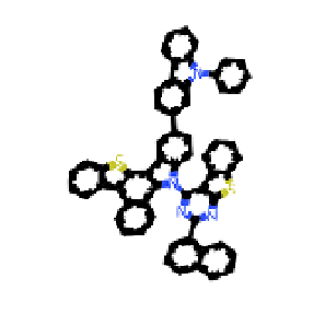 c1ccc(-n2c3ccccc3c3ccc(-c4ccc5c(c4)c4c6sc7ccccc7c6c6ccccc6c4n5-c4nc(-c5cccc6ccccc56)nc5sc6ccccc6c45)cc32)cc1